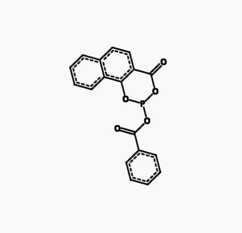 O=C(OP1OC(=O)c2ccc3ccccc3c2O1)c1ccccc1